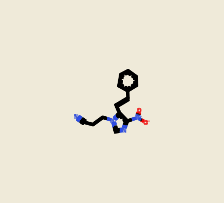 N#CCCn1cnc([N+](=O)[O-])c1/C=C/c1ccccc1